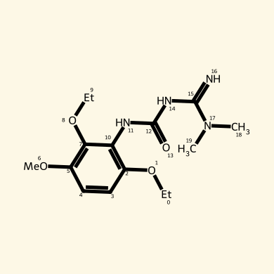 CCOc1ccc(OC)c(OCC)c1NC(=O)NC(=N)N(C)C